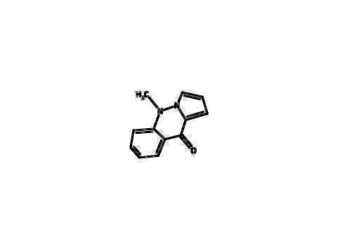 Cn1c2ccccc2c(=O)c2cccn21